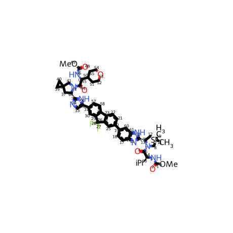 COC(=O)N[C@H](C(=O)N1C[Si](C)(C)C[C@H]1c1nc2ccc(-c3ccc4c(c3)C(F)(F)c3cc(-c5cnc([C@@H]6CC7(CC7)CN6C(=O)[C@@H](NC(=O)OC)C6CCOCC6)[nH]5)ccc3-4)cc2[nH]1)C(C)C